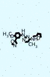 COc1ccc(Nc2ncc(C)c(NCc3ccco3)n2)cc1-c1cnco1